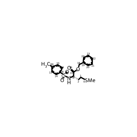 CSCC[C@H](NS(=O)(=O)c1ccc(C)cc1)C(=O)OCc1ccccc1